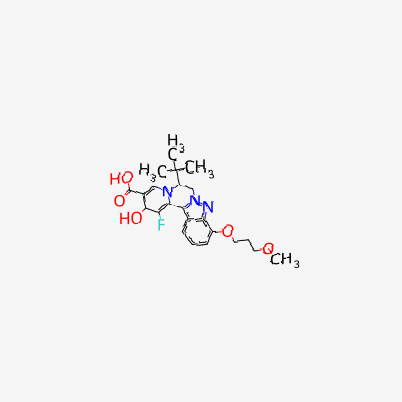 COCCCOc1cccc2c3n(nc12)CC(C(C)(C)C)N1C=C(C(=O)O)C(O)C(F)=C31